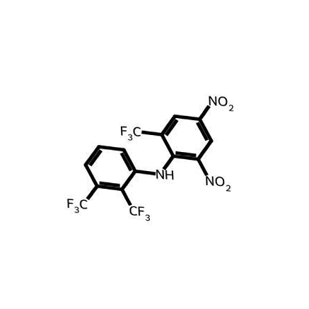 O=[N+]([O-])c1cc([N+](=O)[O-])c(Nc2cccc(C(F)(F)F)c2C(F)(F)F)c(C(F)(F)F)c1